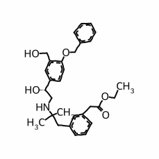 CCOC(=O)Cc1cccc(CC(C)(C)NC[C@H](O)c2ccc(OCc3ccccc3)c(CO)c2)c1